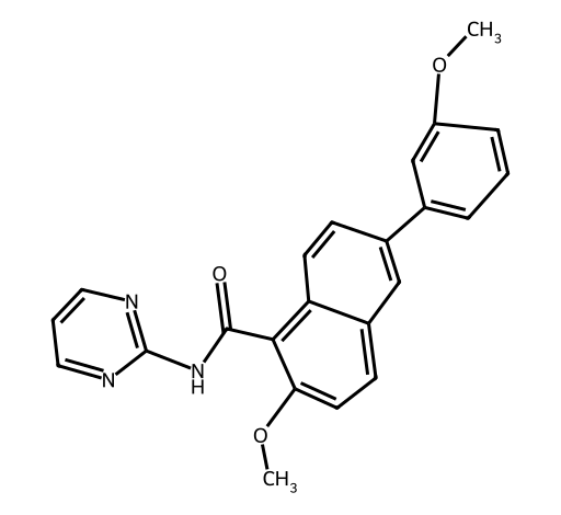 COc1cccc(-c2ccc3c(C(=O)Nc4ncccn4)c(OC)ccc3c2)c1